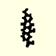 COc1cccc(Nc2nc3ccc([N+](=O)[O-])cc3c(=O)n2O)c1